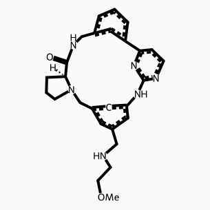 COCCNCc1cc2cc(c1)Nc1nccc(n1)-c1cccc(c1)CNC(=O)[C@@H]1CCCN1C2